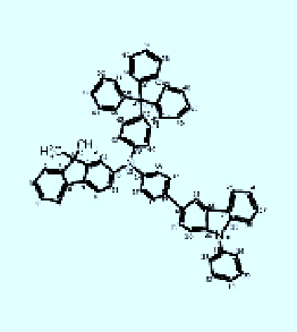 CC1(C)c2ccccc2-c2ccc(N(c3ccc(-c4ccc5c(c4)c4ccccc4n5-c4ccccc4)cc3)c3ccc(C(c4ccccc4)(c4ccccc4)c4ccccc4)cc3)cc21